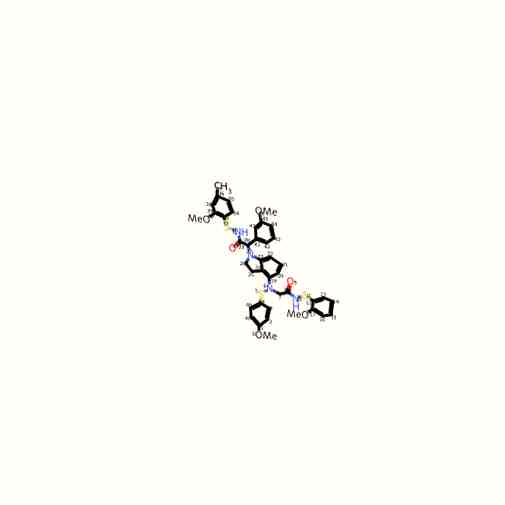 COc1ccc(SN(CC(=O)NSc2ccccc2OC)c2cccc3c2CCN3C(C(=O)NSc2ccc(C)cc2OC)c2cccc(OC)c2)cc1